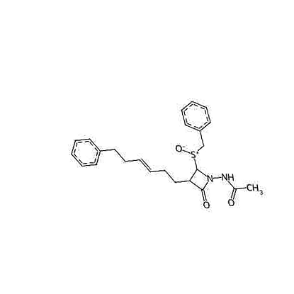 CC(=O)NN1C(=O)C(CC/C=C/CCc2ccccc2)C1[S+]([O-])Cc1ccccc1